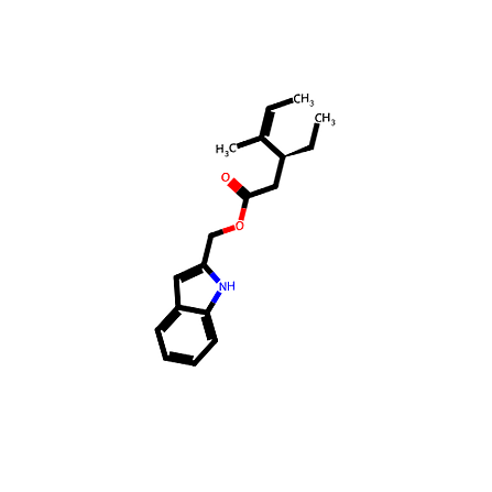 C/C=C(/C)[C@@H](CC)CC(=O)OCc1cc2ccccc2[nH]1